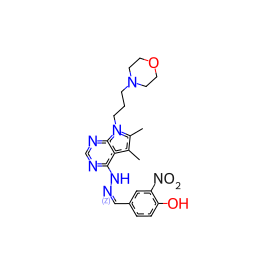 Cc1c(C)n(CCCN2CCOCC2)c2ncnc(N/N=C\c3ccc(O)c([N+](=O)[O-])c3)c12